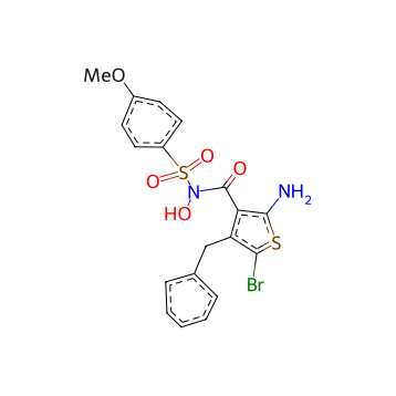 COc1ccc(S(=O)(=O)N(O)C(=O)c2c(N)sc(Br)c2Cc2ccccc2)cc1